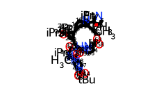 CCn1c(-c2cccnc2C(C)C)c2c3cc(ccc31)-c1cc(cc(O[Si](C(C)C)(C(C)C)C(C)C)c1)C[C@H](NC(=O)[C@H](C(C)C)N(C)C(=O)N1CCN(C(=O)OC(C)(C)C)CC1)C(=O)N1CCC[C@H](N1)C(=O)OCC(C)(C)C2